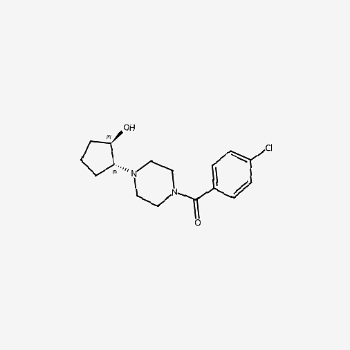 O=C(c1ccc(Cl)cc1)N1CCN([C@@H]2CCC[C@H]2O)CC1